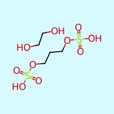 O=S(=O)(O)OCCCOS(=O)(=O)O.OCCO